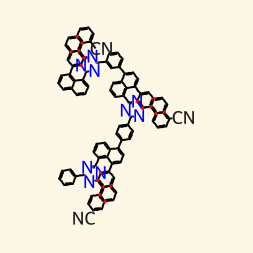 N#Cc1ccc(-c2ccc(-c3ccc(-c4ccc(-c5nc(-c6ccccc6)nc(-c6cccc7c(-c8cccc(-c9nc(-c%10ccccc%10)nc(-c%10cccc%11cccc(-c%12ccc(-c%13ccccc%13C#N)cc%12)c%10%11)n9)c8)ccc(-c8ccc(-c9cccc(C#N)c9)cc8)c67)n5)cc4)c4cccc(-c5nc(-c6ccccc6)nc(-c6ccccc6)n5)c34)cc2)cc1